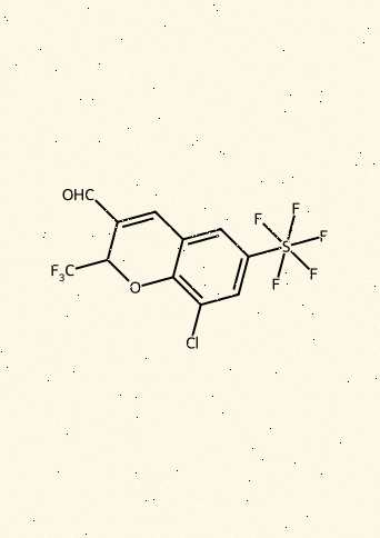 O=CC1=Cc2cc(S(F)(F)(F)(F)F)cc(Cl)c2OC1C(F)(F)F